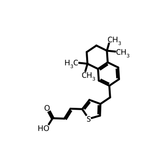 CC1(C)CCC(C)(C)c2cc(Cc3csc(/C=C/C(=O)O)c3)ccc21